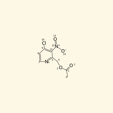 CC(=O)OCc1nccc(Cl)c1[N+](=O)[O-]